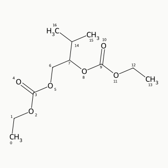 CCOC(=O)OCC(OC(=O)OCC)C(C)C